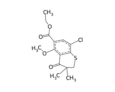 CCOC(=O)c1cc(Cl)c2c(c1OC)C(=O)C(C)(C)CS2